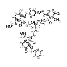 Cc1c(C(=O)NCCCC(CCCNC(=O)c2c(OCc3ccccc3)c(=O)ccn2CCO)(CCCNC(=O)c2c(OCc3ccccc3)c(=O)ccn2CCO)[N+](=O)[O-])n(CCO)ccc1=O